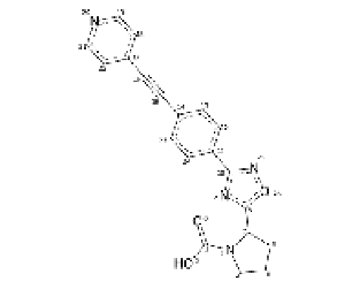 O=C(O)N1CCCC1c1nc(-c2ccc(C#Cc3ccncc3)cc2)no1